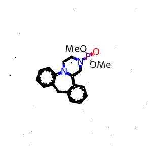 COP(=O)(OC)N1CCN2c3ccccc3Cc3ccccc3C2C1